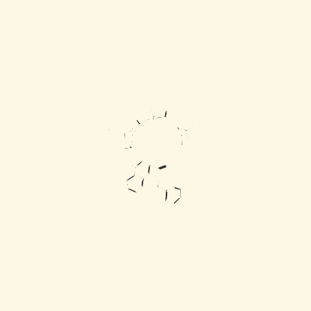 CC1[C@H]2CCCC#Cc3c(nc4ccccc4c3OCc3ccccc3)O[C@@H]3C[C@@H](C(=O)O)N(C3)C(=O)[C@H](C(C)(C)C)NC(=O)O[C@H]12